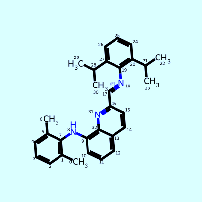 Cc1cccc(C)c1Nc1cccc2ccc(/C=N/c3c(C(C)C)cccc3C(C)C)nc12